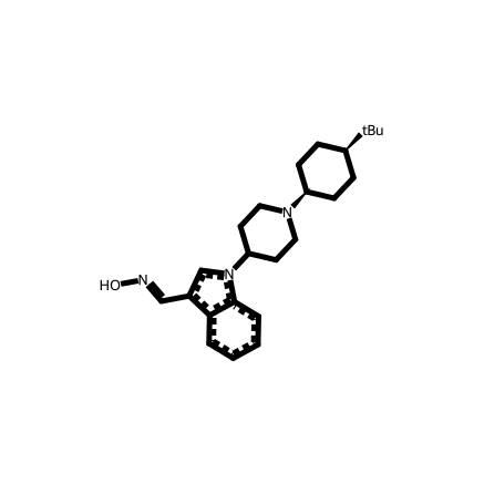 CC(C)(C)[C@H]1CC[C@@H](N2CCC(n3cc(C=NO)c4ccccc43)CC2)CC1